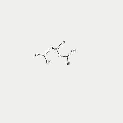 CCC(O)O[PH](=O)OC(O)CC